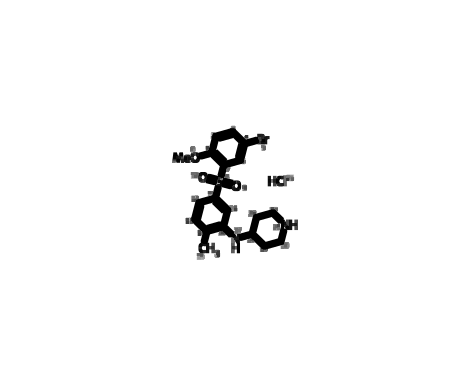 COc1ccc(Br)cc1S(=O)(=O)c1ccc(C)c(NC2CCNCC2)c1.Cl